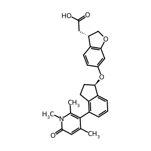 Cc1cc(=O)n(C)c(C)c1-c1cccc2c1CC[C@H]2Oc1ccc2c(c1)OC[C@H]2CC(=O)O